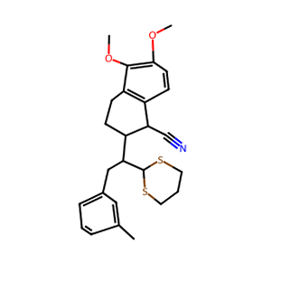 COc1ccc2c(c1OC)CCC(C(Cc1cccc(C)c1)C1SCCCS1)C2C#N